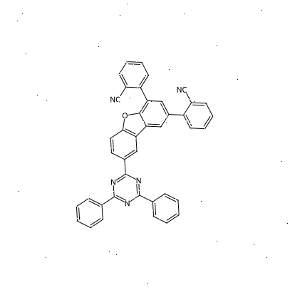 N#Cc1ccccc1-c1cc(-c2ccccc2C#N)c2oc3ccc(-c4nc(-c5ccccc5)nc(-c5ccccc5)n4)cc3c2c1